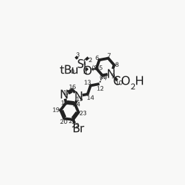 CC(C)(C)[Si](C)(C)O[C@H]1CCCN(C(=O)O)[C@@H]1CCCn1cnc2ccc(Br)cc21